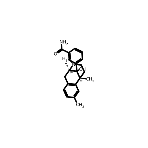 Cc1ccc2c(c1)[C@@]1(C)CCN(C)[C@H](C2)C1(O)c1cccc(C(N)=O)c1